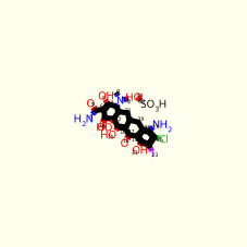 CN(C)C1C(O)=C(C(N)=O)C(=O)C2(O)C(O)=C3C(=O)c4c(O)c(I)c(Cl)c(N)c4CC3CC12.O=S(=O)(O)O